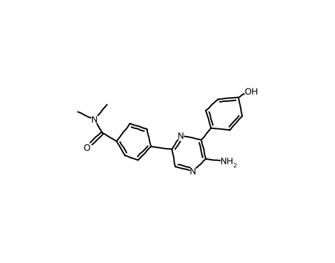 CN(C)C(=O)c1ccc(-c2cnc(N)c(-c3ccc(O)cc3)n2)cc1